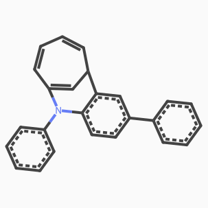 C1=CC2=CC(C=C1)c1cc(-c3ccccc3)ccc1N2c1ccccc1